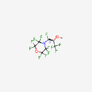 CO/C(=C(\F)N1C(F)(F)C(F)(F)OC(F)(F)C1(F)F)C(F)(F)F